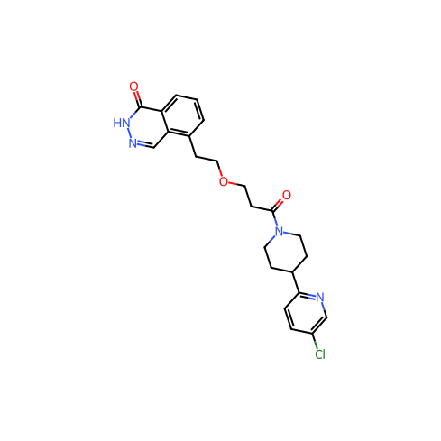 O=C(CCOCCc1cccc2c(=O)[nH]ncc12)N1CCC(c2ccc(Cl)cn2)CC1